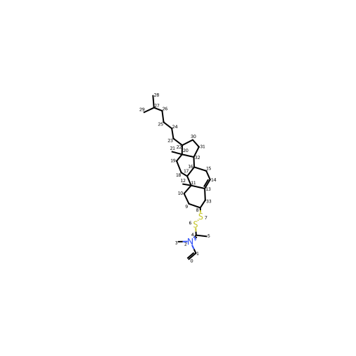 C=C/[N+](C)=C(\C)SSC1CCC2(C)C(=CCC3C2CCC2(C)C(CCCCC(C)C)CCC32)C1